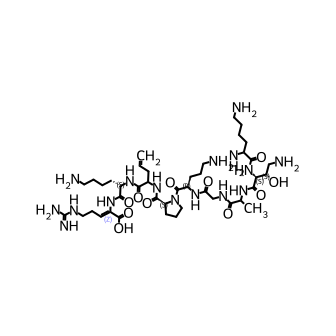 C=CCC(NC(=O)[C@@H]1CCCN1C(=O)[C@@H](CCCN)NC(=O)CNC(=O)C(C)NC(=O)[C@@H](NC(=O)C(N)CCCCN)[C@@H](O)CN)C(=O)N[C@@H](CCCCN)C(=O)N/C(=C\CCNC(=N)N)C(=O)O